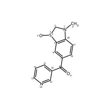 CN1C[S+]([O-])c2cc(C(=O)c3cccnc3)ccc21